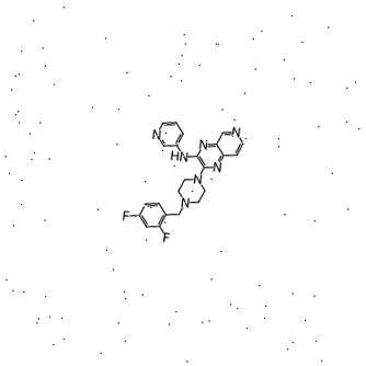 Fc1ccc(CN2CCN(c3nc4ccncc4nc3Nc3cccnc3)CC2)c(F)c1